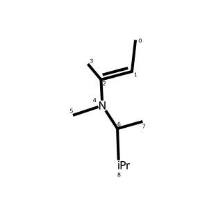 C/C=C(\C)N(C)C(C)C(C)C